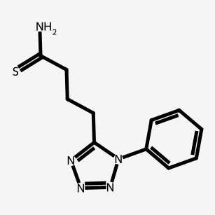 NC(=S)CCCc1nnnn1-c1ccccc1